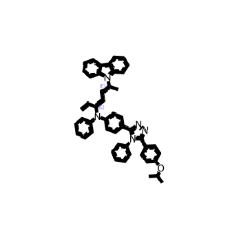 C=C/C(=C\C=C(/C)n1c2ccccc2c2ccccc21)N(c1ccccc1)c1ccc(-c2nnc(-c3ccc(OC(C)C)cc3)n2-c2ccccc2)cc1